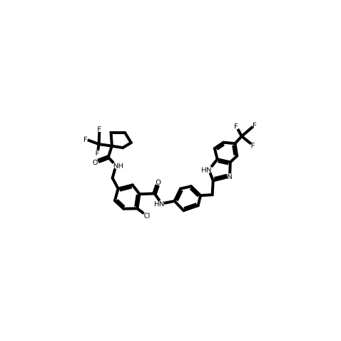 O=C(Nc1ccc(Cc2nc3cc(C(F)(F)F)ccc3[nH]2)cc1)c1cc(CNC(=O)C2(C(F)(F)F)CCCC2)ccc1Cl